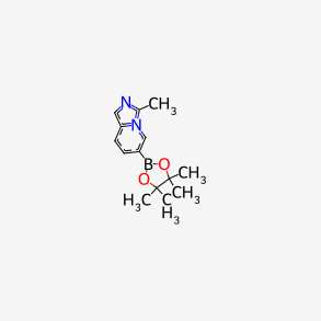 Cc1ncc2ccc(B3OC(C)(C)C(C)(C)O3)cn12